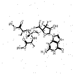 CC(C)OC(=O)[C@H](C)NP(=S)(N[C@@H](C)C(=O)OC(C)C)OC[C@@]1(C(F)F)O[C@@H](n2cnc3c(=O)[nH]c(N)nc32)[C@H](O)C1(F)F